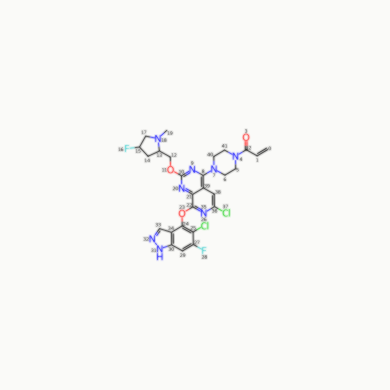 C=CC(=O)N1CCN(c2nc(OCC3CC(F)CN3C)nc3c(Oc4c(Cl)c(F)cc5[nH]ncc45)nc(Cl)cc23)CC1